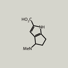 CNC1CCc2[nH]c(C(=O)O)cc21